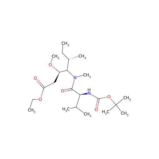 CCOC(=O)C[C@@H](OC)C([C@@H](C)CC)N(C)C(=O)[C@@H](NC(=O)OC(C)(C)C)C(C)C